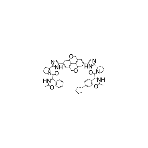 CC(=O)N[C@@H](C(=O)N1CCC[C@H]1c1ncc(-c2cc3c4c(c2)OCc2cc(-c5cnc([C@@H]6CCCN6C(=O)[C@H](NC(C)=O)c6ccc(C7CCCC7)cc6)[nH]5)cc(c2-4)OC3)[nH]1)c1ccccc1